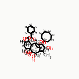 CC(=O)O[C@@]12CO[C@@H]1C[C@H](O)[C@@]1(C)C(=O)[C@H](O)C3=C(C)[C@@H](O)[C@H](C4CCCCCCC4)[C@]4(O)[C@@]3(C)C[C@@]4(OC(=O)c3ccccc3)[C@H]21